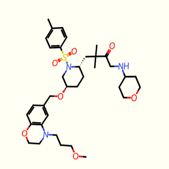 COCCCN1CCOc2ccc(CO[C@@H]3CC[C@@H](CC(C)(C)C(=O)CNC4CCOCC4)N(S(=O)(=O)c4ccc(C)cc4)C3)cc21